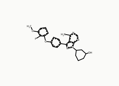 COc1cccc(Oc2ccc(-c3nn(C4CCCC(O)C4)c4ncnc(N)c34)cc2)c1F